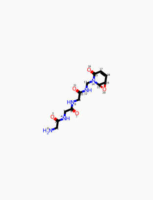 NCC(=O)NCC(=O)NCC(=O)NCN1C(=O)C=CC2OC21